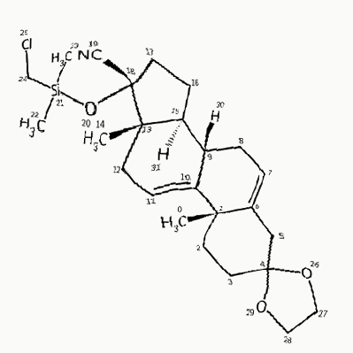 C[C@]12CCC3(CC1=CC[C@@H]1C2=CC[C@@]2(C)[C@H]1CC[C@@]2(C#N)O[Si](C)(C)CCl)OCCO3